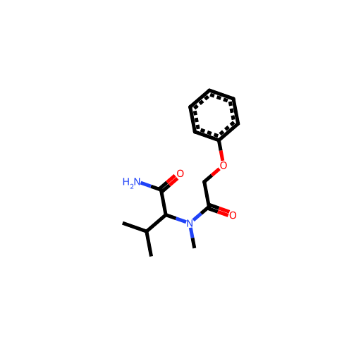 CC(C)C(C(N)=O)N(C)C(=O)COc1ccccc1